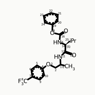 CC(COc1ccc(C(F)(F)F)cc1)NC(=O)[C@@H](NC(=O)Oc1ccccc1)C(C)C